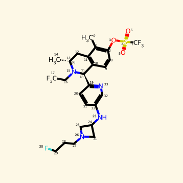 Cc1c(OS(=O)(=O)C(F)(F)F)ccc2c1C[C@@H](C)N(CC(F)(F)F)[C@@H]2c1ccc(NC2CN(CCCF)C2)cn1